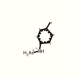 Cc1ccc(N[AsH2])cc1